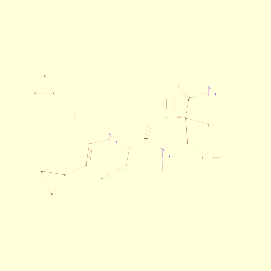 CC(NC(=O)c1ccc(C2CC2)c(OCC2CC2)n1)C(C)(C)C(N)=O